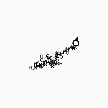 CC1C2CCc3nnn(CCNC(=O)CCNC(=O)C(O)C(C)(C)COP(=O)(O)OP(=O)(O)OCC4OC(n5cnc6c(N)ncnc65)C(O)C4OP(=O)(O)O)c3CCC12